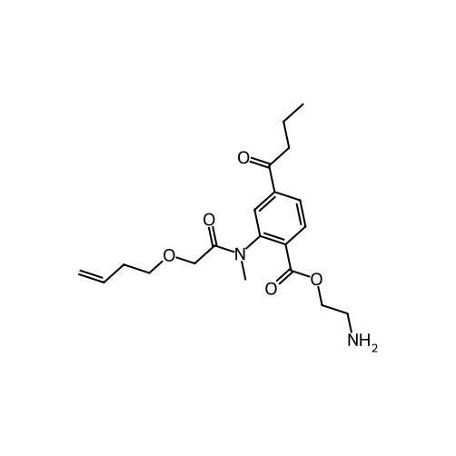 C=CCCOCC(=O)N(C)c1cc(C(=O)CCC)ccc1C(=O)OCCN